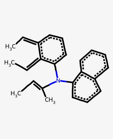 C/C=c1/cccc(N(/C(C)=C/C)c2cccc3ccccc23)/c1=C/C